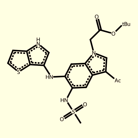 CC(=O)c1cn(CC(=O)OC(C)(C)C)c2cc(Nc3c[nH]c4ccsc34)c(NS(C)(=O)=O)cc12